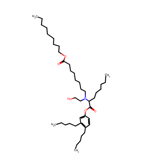 CCCCCCCCCOC(=O)CCCCCCCN(CCO)C(CCCCCC)C(=O)Oc1ccc(CCCCC)c(CCCCC)c1